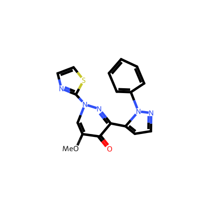 COc1cn(-c2nccs2)nc(-c2ccnn2-c2ccccc2)c1=O